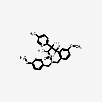 COc1ccc(CN(Cc2ccc(OC)cc2)S(=O)(=O)[C@@H](C)C(O)(c2ncc(C)cn2)C(F)(F)F)cc1